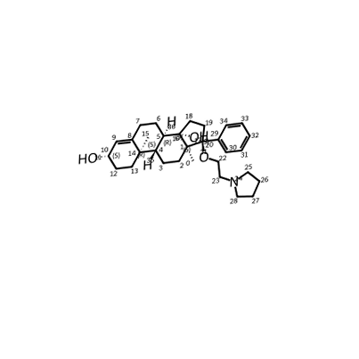 C[C@]12CC[C@H]3[C@@H](CCC4=C[C@@H](O)CC[C@@]43C)[C@@]1(O)CC[C@]2(OCCN1CCCC1)c1ccccc1